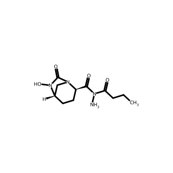 CCCC(=O)N(N)C(=O)[C@H]1CC[C@H]2CN1C(=O)N2O